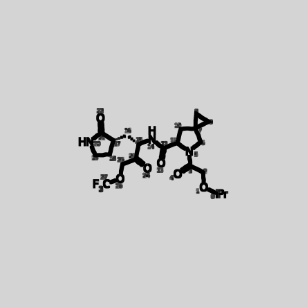 CC(C)OCC(=O)N1CC2(CC2)CC1C(=O)N[C@@H](C[C@@H]1CCNC1=O)C(=O)COC(F)(F)F